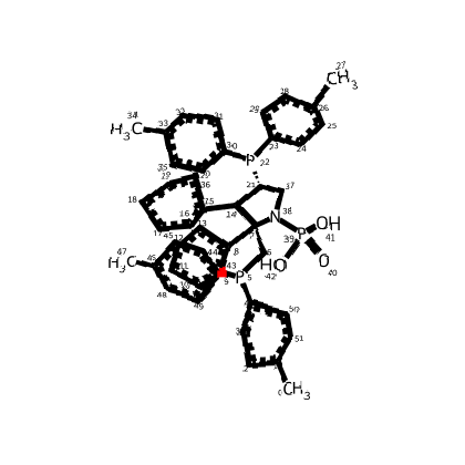 Cc1ccc(P(C[C@@]2(c3ccccc3)C(c3ccccc3)[C@H](P(c3ccc(C)cc3)c3ccc(C)cc3)CN2P(=O)(O)O)c2ccc(C)cc2)cc1